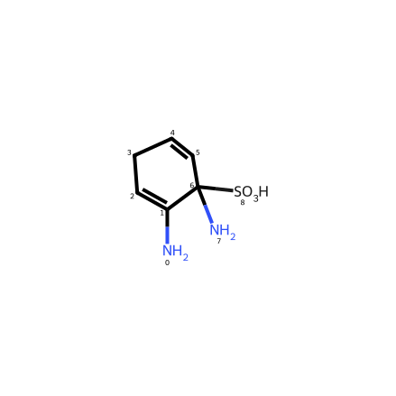 NC1=CCC=CC1(N)S(=O)(=O)O